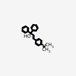 CN(C)c1ccc(/C=C/C(O)(c2ccccc2)c2ccccc2)cc1